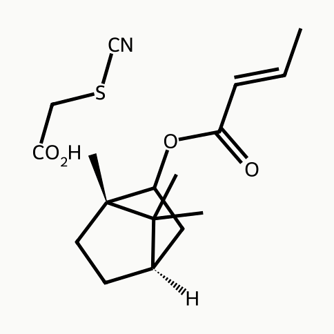 C/C=C/C(=O)OC1C[C@H]2CC[C@@]1(C)C2(C)C.N#CSCC(=O)O